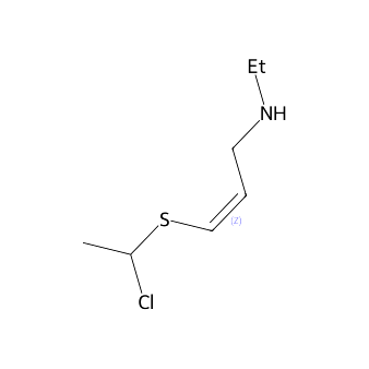 CCNC/C=C\SC(C)Cl